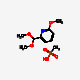 COc1cccc(C(OC)OC)n1.CS(=O)(=O)O